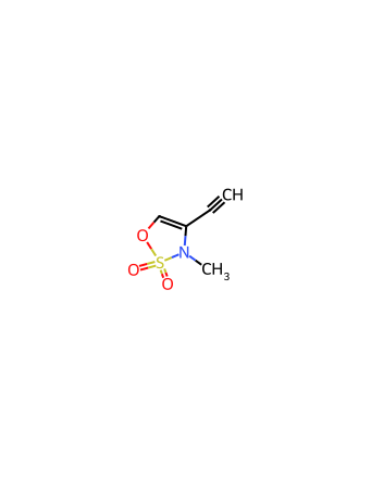 C#CC1=COS(=O)(=O)N1C